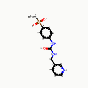 CCCCCS(=O)(=O)c1ccc(NC(=O)NCc2cccnc2)cc1